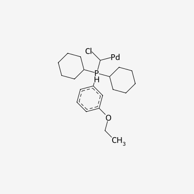 CCOc1cccc([PH]([CH](Cl)[Pd])(C2CCCCC2)C2CCCCC2)c1